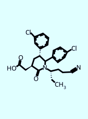 CC[C@@H](CCC#N)N1C(=O)[C@@H](CC(=O)O)C[C@H](c2cccc(Cl)c2)C1c1ccc(Cl)cc1